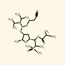 B[C@@H]1O[C@H](C(OC(=O)C(C)C)C(C)P(C)(C)=O)C[C@@H]1OP(OCCC#N)N(C(C)C)C(C)C